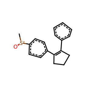 C[S+]([O-])c1ccc(C2=C(c3ccccc3)CCC2)cc1